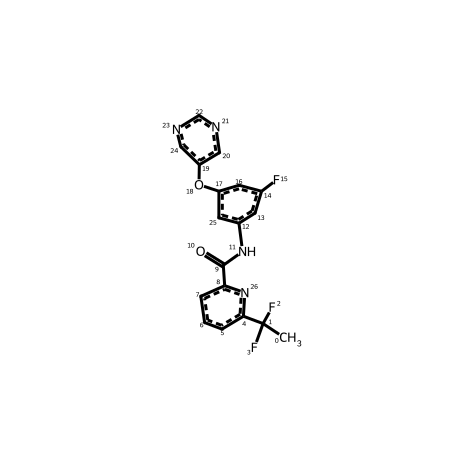 CC(F)(F)c1cccc(C(=O)Nc2cc(F)cc(Oc3cncnc3)c2)n1